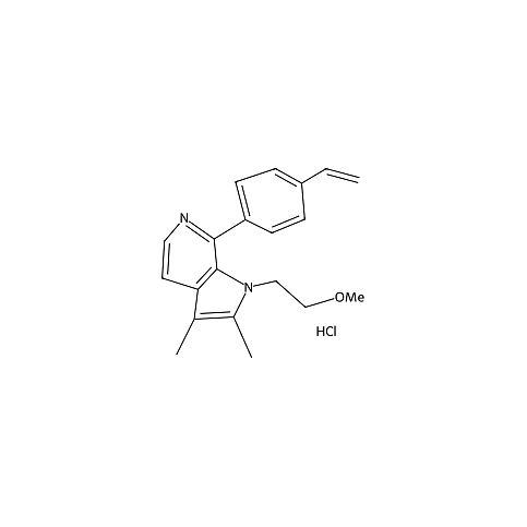 C=Cc1ccc(-c2nccc3c(C)c(C)n(CCOC)c23)cc1.Cl